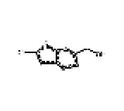 OCc1c[c]c2cc(Cl)sc2c1